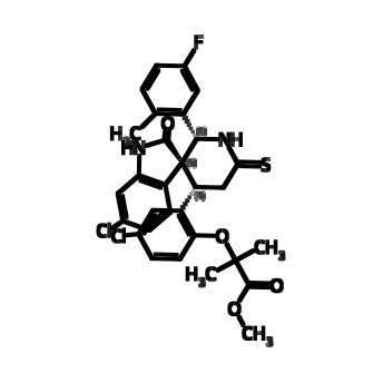 COC(=O)C(C)(C)Oc1ccc(Cl)cc1[C@H]1CC(=S)N[C@@H](c2cc(F)ccc2C)[C@]12C(=O)Nc1cc(Cl)ccc12